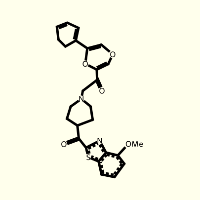 COc1cccc2sc(C(=O)C3CCN(CC(=O)C4=COC=C(C5=CC=CCC5)O4)CC3)nc12